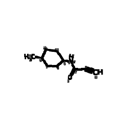 C#CC(=O)N[C@H]1CC[C@@H](C)CC1